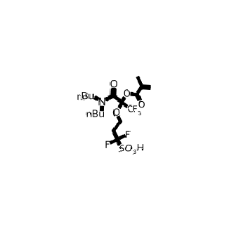 C=C(C)C(=O)OC(OCCC(F)(F)S(=O)(=O)O)(C(=O)N(CCCC)CCCC)C(F)(F)F